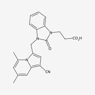 Cc1cc(C)n2c(Cn3c(=O)n(CCC(=O)O)c4ccccc43)cc(C#N)c2c1